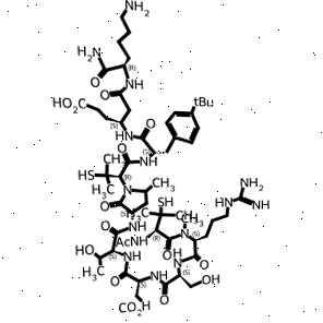 CC(=O)N[C@H](C(=O)N(C)[C@@H](CCCNC(=N)N)C(=O)N[C@@H](CO)C(=O)N[C@@H](CC(=O)O)C(=O)N[C@H](C(=O)N[C@H]1CC(C)N([C@H](C(=O)N[C@@H](Cc2ccc(C(C)(C)C)cc2)C(=O)N[C@@H](CCC(=O)O)CC(=O)N[C@H](CCCCN)C(N)=O)C(C)(C)S)C1=O)C(C)O)C(C)(C)S